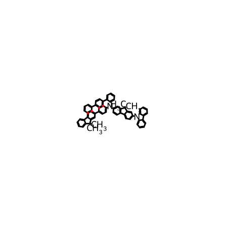 CC1(C)c2ccccc2-c2ccc(-c3ccc(N(c4ccc5c(c4)C(C)(C)c4cc(-n6c7ccccc7c7ccccc76)ccc4-5)c4ccccc4-c4ccc(-c5ccccc5)cc4)cc3)cc21